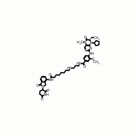 CC[C@@H]1C(=O)N(C)c2cnc(Nc3ccc(C(=O)NCCCNCCCCCCCC(=O)Nc4cccc5c4CN(C4CCC(=O)NC4=O)C5=O)cc3OC)nc2N1C1CCCC1